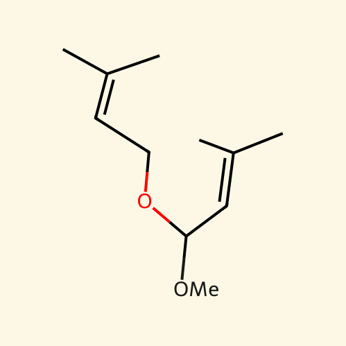 COC(C=C(C)C)OCC=C(C)C